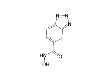 O=C(NO)C1=CC=C2N=NN=C2C1